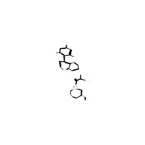 Cc1cc(F)cc(C)c1-c1ccnc2cc(OC(C)C(=O)N3CCC[C@H](CC(=O)O)C3)ccc12